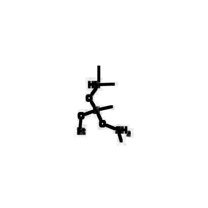 CCO[Si](C)(O[SiH2]C)O[SiH](C)C